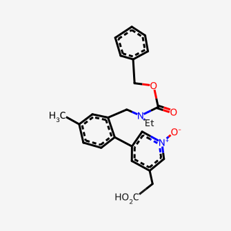 CCN(Cc1cc(C)ccc1-c1cc(CC(=O)O)c[n+]([O-])c1)C(=O)OCc1ccccc1